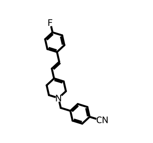 N#Cc1ccc(CN2CC=C(C=Cc3ccc(F)cc3)CC2)cc1